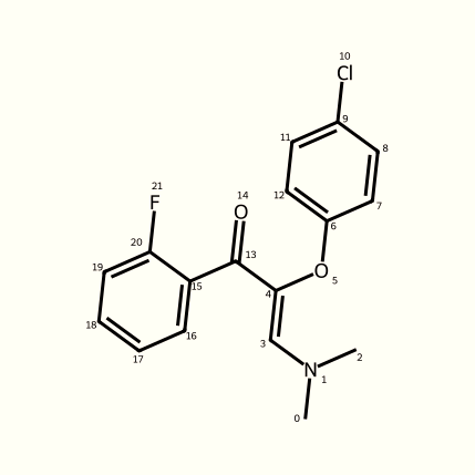 CN(C)C=C(Oc1ccc(Cl)cc1)C(=O)c1ccccc1F